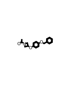 CC(=O)N1CC(Oc2ccc(OCc3ccccc3)cc2)C1